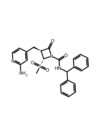 CS(=O)(=O)[C@@H]1[C@@H](Cc2ccnc(N)c2)C(=O)N1C(=O)NC(c1ccccc1)c1ccccc1